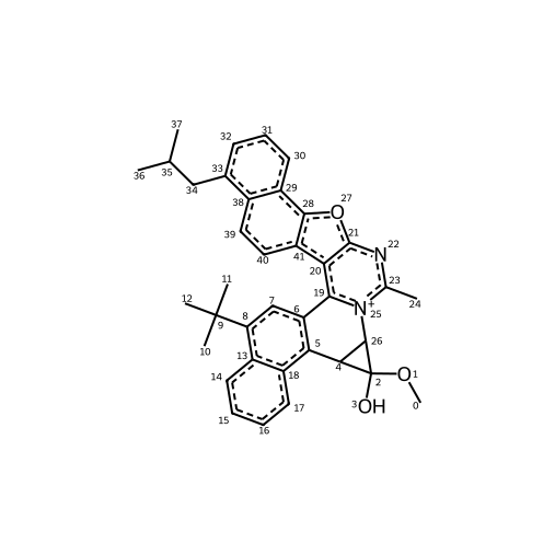 COC1(O)C2c3c(cc(C(C)(C)C)c4ccccc34)-c3c4c(nc(C)[n+]3C21)oc1c2cccc(CC(C)C)c2ccc14